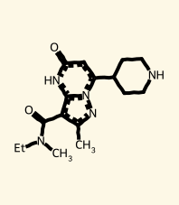 CCN(C)C(=O)c1c(C)nn2c(C3CCNCC3)cc(=O)[nH]c12